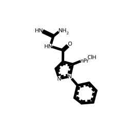 CCCc1c(C(=O)NC(=N)N)cnn1-c1ccccc1.Cl